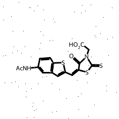 CC(=O)Nc1ccc2sc(/C=C3/SC(=S)N(CC(=O)O)C3=O)cc2c1